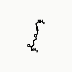 NCC#CCOCCCC(N)=O